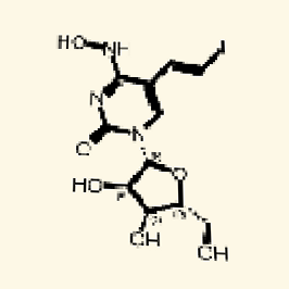 O=c1nc(NO)c(C=CI)cn1[C@@H]1O[C@H](CO)[C@@H](O)[C@H]1O